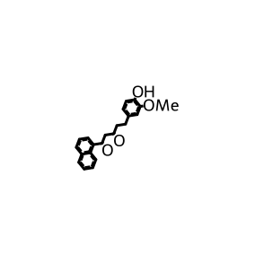 COc1cc(CCC(=O)CC(=O)c2cccc3ccccc23)ccc1O